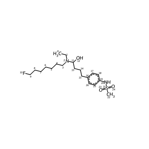 CCN(CCCCCCCF)C(O)CCCc1ccc(NS(C)(=O)=O)cc1